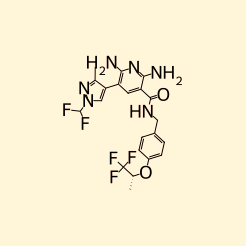 Cc1nn(C(F)F)cc1-c1cc(C(=O)NCc2ccc(O[C@H](C)C(F)(F)F)cc2)c(N)nc1N